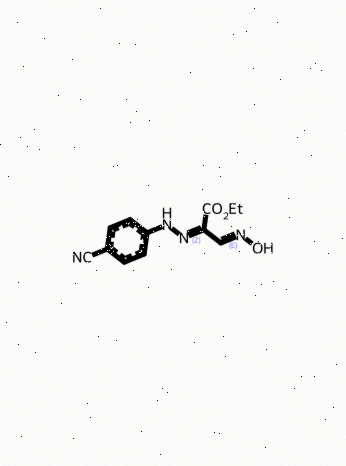 CCOC(=O)C(/C=N/O)=N\Nc1ccc(C#N)cc1